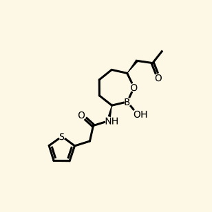 CC(=O)C[C@@H]1CCC[C@H](NC(=O)Cc2cccs2)B(O)O1